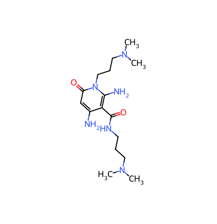 CN(C)CCCNC(=O)c1c(N)cc(=O)n(CCCN(C)C)c1N